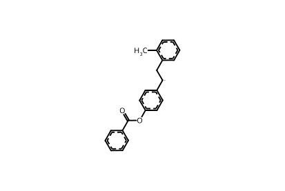 Cc1ccccc1C[CH]c1ccc(OC(=O)c2ccccc2)cc1